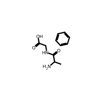 CC(N)C(=O)NCC(=O)O.c1ccccc1